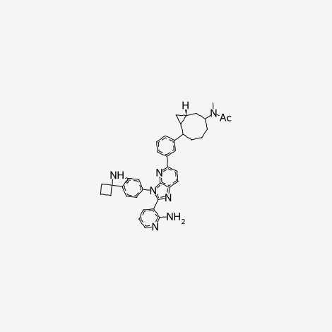 CC(=O)N(C)C1CCCC(c2cccc(-c3ccc4nc(-c5cccnc5N)n(-c5ccc(C6(N)CCC6)cc5)c4n3)c2)C2C[C@@H]2C1